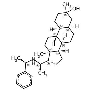 C[C@@H](N[C@H](C)[C@H]1CC[C@H]2[C@@H]3CC[C@@H]4C[C@](C)(O)CC[C@@H]4[C@H]3CC[C@]12C)c1ccccc1